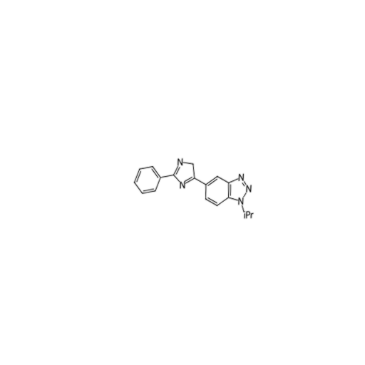 CC(C)n1nnc2cc(C3=NC(c4ccccc4)=NC3)ccc21